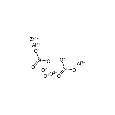 O=[Si]([O-])[O-].O=[Si]([O-])[O-].[Al+3].[Al+3].[O-2].[O-2].[O-2].[Zr+4]